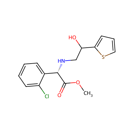 COC(=O)[C@@H](NCC(O)c1cccs1)c1ccccc1Cl